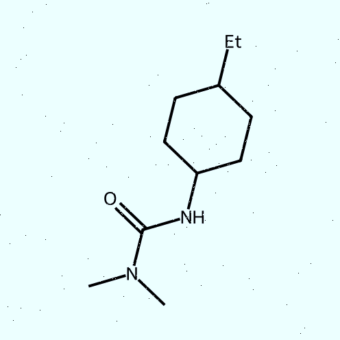 CCC1CCC(NC(=O)N(C)C)CC1